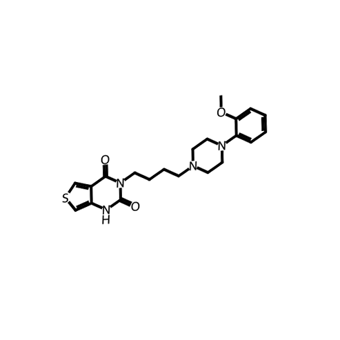 COc1ccccc1N1CCN(CCCCn2c(=O)[nH]c3cscc3c2=O)CC1